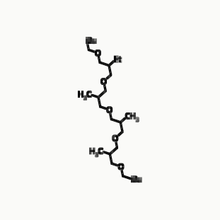 CCC(C)COCC(C)COCC(C)COCC(C)COCC(CC)COCC(C)CC